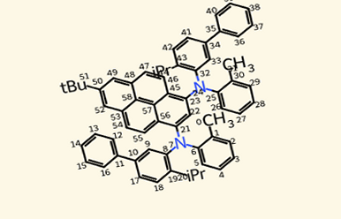 Cc1ccccc1N(c1cc(-c2ccccc2)ccc1C(C)C)c1cc(N(c2ccccc2C)c2cc(-c3ccccc3)ccc2C(C)C)c2ccc3cc(C(C)(C)C)cc4ccc1c2c43